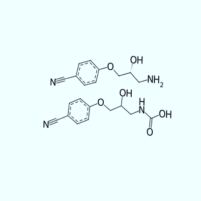 N#Cc1ccc(OCC(O)CNC(=O)O)cc1.N#Cc1ccc(OC[C@H](O)CN)cc1